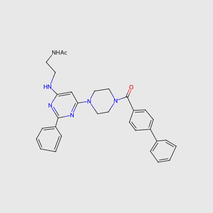 CC(=O)NCCNc1cc(N2CCN(C(=O)c3ccc(-c4ccccc4)cc3)CC2)nc(-c2ccccc2)n1